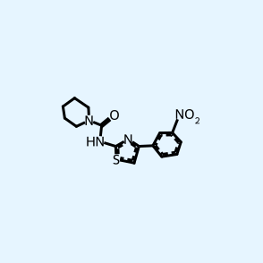 O=C(Nc1nc(-c2cccc([N+](=O)[O-])c2)cs1)N1CCCCC1